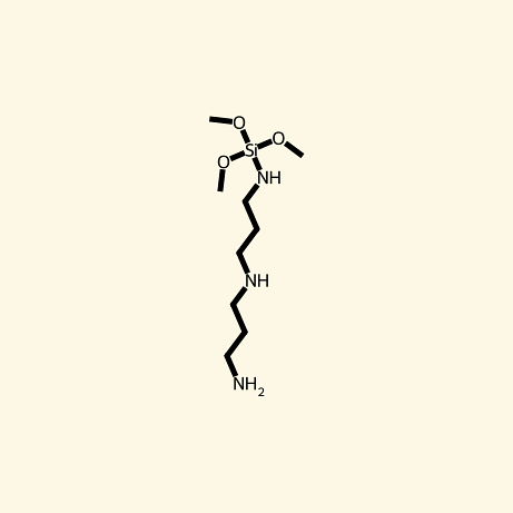 CO[Si](NCCCNCCCN)(OC)OC